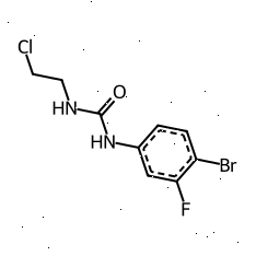 O=C(NCCCl)Nc1ccc(Br)c(F)c1